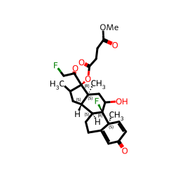 COC(=O)CCC(=O)O[C@]1(C(=O)CF)C(C)C[C@H]2[C@@H]3CCC4=CC(=O)C=C[C@]4(C)[C@@]3(F)C(O)C[C@@]21C